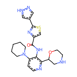 O=C(Nc1c(N2CCCCC2)ccnc1C1CNCCO1)c1csc(-c2cn[nH]c2)n1